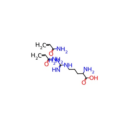 C=CC(N)=O.C=CC(N)=O.N=C(N)NCCCC(N)C(=O)O